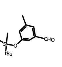 Cc1cc(C=O)cc(O[Si](C)(C)C(C)(C)C)c1